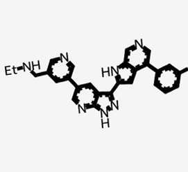 CCNCc1cncc(-c2cnc3[nH]nc(-c4cc5c(-c6cccc(F)c6)cncc5[nH]4)c3c2)c1